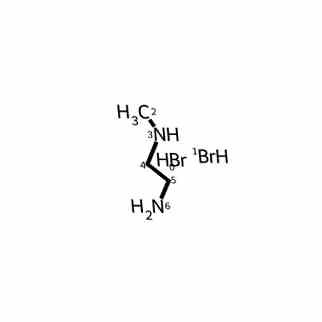 Br.Br.CNCCN